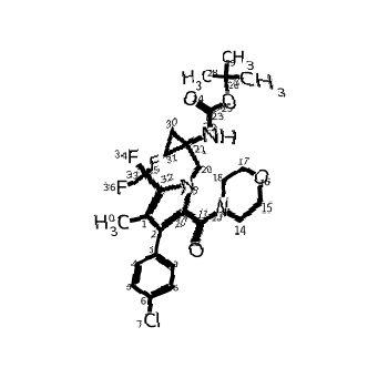 Cc1c(-c2ccc(Cl)cc2)c(C(=O)N2CCOCC2)n(CC2(NC(=O)OC(C)(C)C)CC2)c1C(F)(F)F